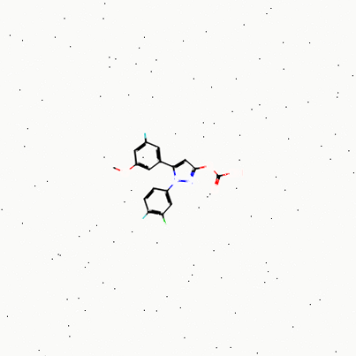 COc1cc(F)cc(-c2cc(OC(=O)O)nn2-c2ccc(F)c(Cl)c2)c1